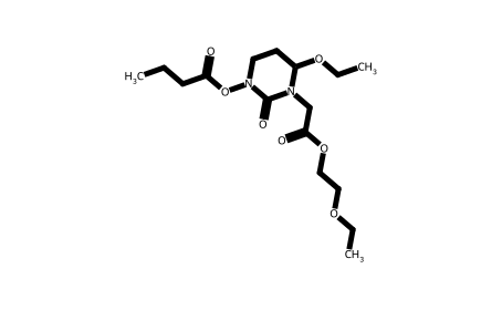 CCCC(=O)ON1CCC(OCC)N(CC(=O)OCCOCC)C1=O